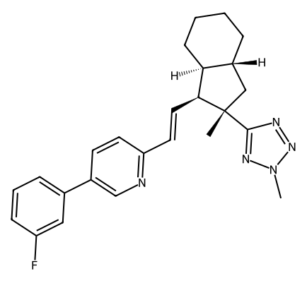 Cn1nnc([C@@]2(C)C[C@H]3CCCC[C@@H]3[C@@H]2C=Cc2ccc(-c3cccc(F)c3)cn2)n1